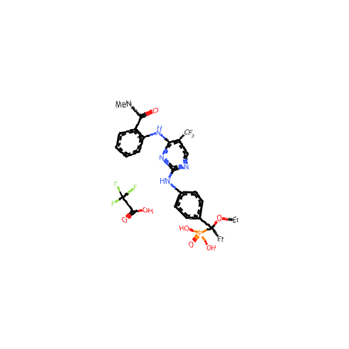 CCOC(CC)(c1ccc(Nc2ncc(C(F)(F)F)c(Nc3ccccc3C(=O)NC)n2)cc1)P(=O)(O)O.O=C(O)C(F)(F)F